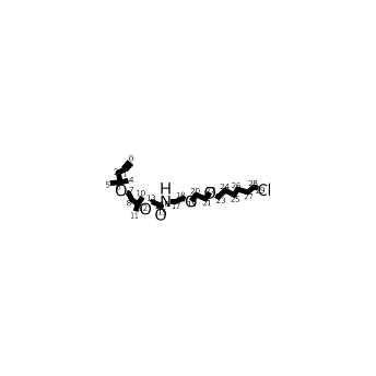 C#CCC(C)(C)OCCC(C)(C)OCC(=O)NCCOCCOCCCCCCCl